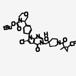 CC(C)(C)OC(=O)N1CCOC[C@H]1c1ccc(-n2c(Cl)cc3c(=O)n(CC4(O)CCN(C(=O)C5(C)CC5C(F)(F)F)CC4)cnc32)cc1